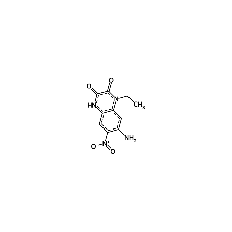 CCn1c(=O)c(=O)[nH]c2cc([N+](=O)[O-])c(N)cc21